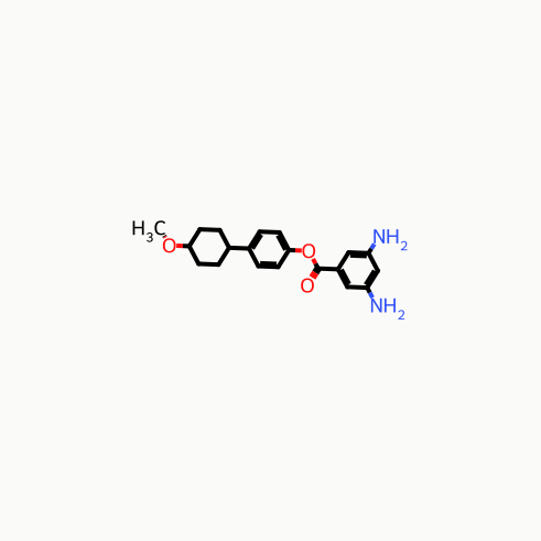 COC1CCC(c2ccc(OC(=O)c3cc(N)cc(N)c3)cc2)CC1